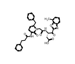 Cc1cccc2nc(C(=O)[C@H](CC(=O)O)NC(=O)Cn3c(Cc4ccccc4)ccc(NC(=O)CCc4ccccc4)c3=O)oc12